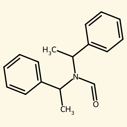 CC(c1ccccc1)N(C=O)C(C)c1ccccc1